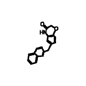 O=C1COc2ccc(Cc3ccc4ccccc4c3)cc2N1